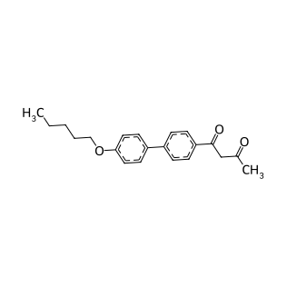 CCCCCOc1ccc(-c2ccc(C(=O)CC(C)=O)cc2)cc1